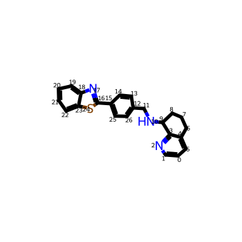 c1cnc2c(c1)CCCC2NCc1ccc(-c2nc3ccccc3s2)cc1